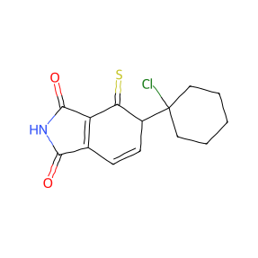 O=C1NC(=O)C2=C1C=CC(C1(Cl)CCCCC1)C2=S